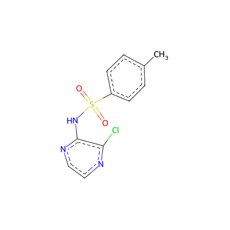 Cc1ccc(S(=O)(=O)Nc2nccnc2Cl)cc1